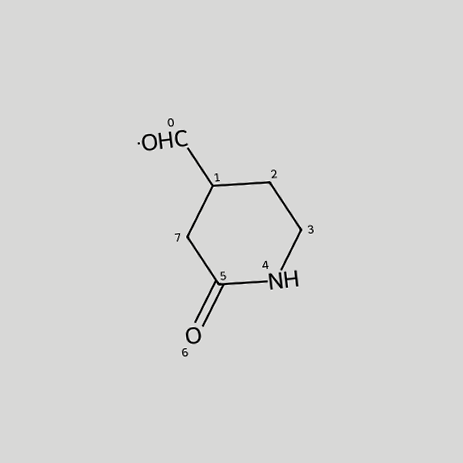 O=[C]C1CCNC(=O)C1